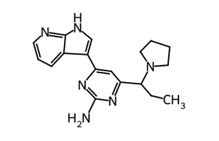 CCC(c1cc(-c2c[nH]c3ncccc23)nc(N)n1)N1CCCC1